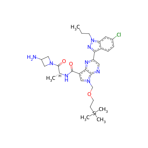 CCCn1nc(-c2cnc3c(n2)c(C(=O)N[C@H](C)C(=O)N2CC(N)C2)cn3COCC[Si](C)(C)C)c2ccc(Cl)cc21